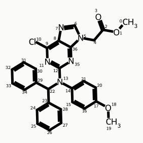 COC(=O)Cn1cnc2c(Cl)nc(N(c3ccc(OC)cc3)C(c3ccccc3)c3ccccc3)nc21